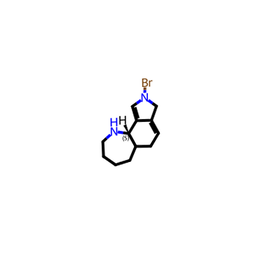 BrN1C=C2C(=CCC3CCCCN[C@H]23)C1